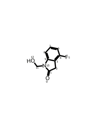 O=C1Cc2c(F)cccc2N1CO